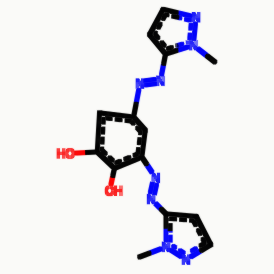 Cn1nccc1/N=N/c1cc(O)c(O)c(/N=N/c2ccnn2C)c1